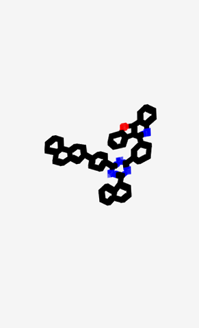 c1cc(-c2nc(-c3ccc(-c4ccc5c(ccc6ccccc65)c4)cc3)nc(-c3cccc4ccccc34)n2)cc(-c2nc3ccccc3c3oc4ccccc4c23)c1